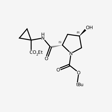 CCOC(=O)C1(NC(=O)[C@@H]2C[C@@H](O)CN2C(=O)OC(C)(C)C)CC1